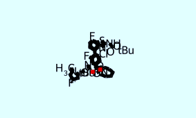 CN1C[C@H](F)C[C@H]1COc1nc(N2CC3CCC(C2)N3C(=O)OC(C)(C)C)c2cc(Cl)c(-c3ccc(F)c4sc(NC(=O)OC(C)(C)C)nc34)c(F)c2n1